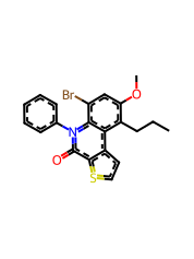 CCCc1c(OC)cc(Br)c2c1c1ccsc1c(=O)n2-c1ccccc1